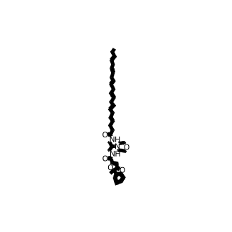 CCC=CCC=CCC=CCC=CCC=CCC=CCCC(=O)NCC(CNC(=O)C1=CC(=O)C(C)(c2ccccc2)O1)N1CCOCC1